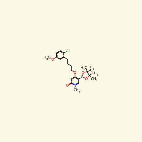 COc1ccc(Cl)c(CCCCOc2cc(=O)n(C)cc2B2OC(C)(C)C(C)(C)O2)c1